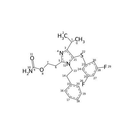 CC(C)c1nc(CCOC(N)=O)n(CCc2ccccc2)c1Sc1cc(F)cc(F)c1